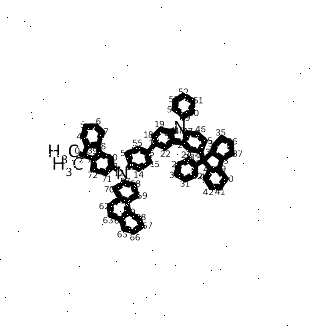 CC1(C)c2ccccc2-c2cc(N(c3ccc(-c4ccc5c(c4)c4cc(C6(c7ccccc7)c7ccccc7-c7ccccc76)ccc4n5-c4ccccc4)cc3)c3ccc4c(ccc5ccccc54)c3)ccc21